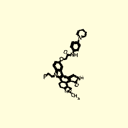 Cn1cc2c(n1)CCc1c-2c2c(c3c4cc(OCC(=O)Nc5ccc(N6CCCCC6)cc5)ccc4n(CCF)c13)CNC2=O